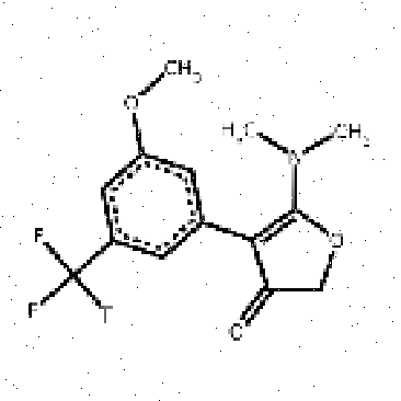 COc1cc(C2=C(N(C)C)OCC2=O)cc(C(F)(F)F)c1